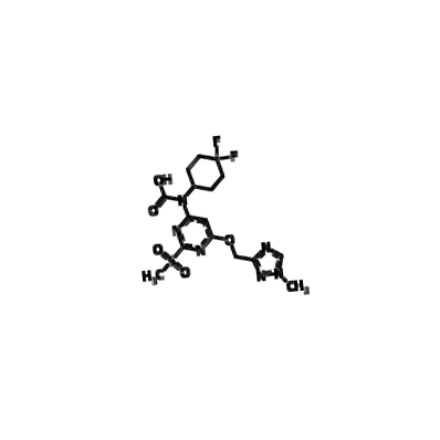 Cn1cnc(COc2cc(N(C(=O)O)C3CCC(F)(F)CC3)nc(S(C)(=O)=O)n2)n1